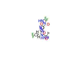 COC[C@H](c1cnn2cc([C@@H](NC(=O)c3nonc3C3CC3)[C@H]3[C@@H]4CC(F)(F)C[C@@H]43)nc2c1)N1CC(F)(F)CNC1=O